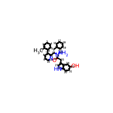 Cc1ccccc1-c1cccnc1[C@H](Cc1ccccc1)N(N)C(=O)Cc1c[nH]c2ccc(O)cc12